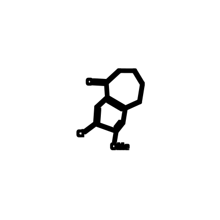 COc1cc2c(cc1Cl)C(=O)CCCC2